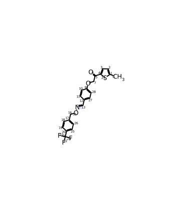 Cc1ccc(C(=O)COc2ccc(/C=N/OCc3ccc(C(F)(F)F)cc3)cc2)s1